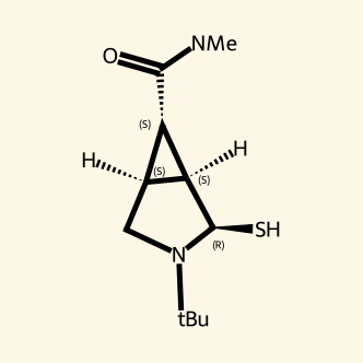 CNC(=O)[C@H]1[C@@H]2CN(C(C)(C)C)[C@H](S)[C@@H]21